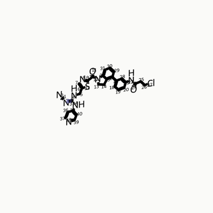 N#C/N=C(\NCc1cnc(C(=O)N2CCc3c(-c4cccc(NC(=O)CCCl)c4)cccc32)s1)Nc1ccncc1